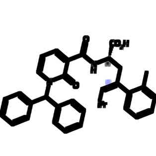 Cc1ccccc1/C(=C\C(C)C)C[C@H](NC(=O)c1cccn(C(c2ccccc2)c2ccccc2)c1=O)C(=O)O